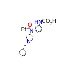 CCC(=O)N(c1cccc(NC(=O)O)c1)C1CCN(CCc2ccccc2)CC1